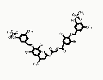 Cc1cc(COc2c(Br)cc(C(=O)NCC(=O)OC(=O)CC(C)c3cc(Br)c(OCc4cc(C)cc(NS(C)(=O)=O)c4)c(Br)c3)cc2Br)cc(NS(C)(=O)=O)c1